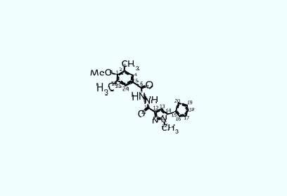 COc1c(C)cc(C(=O)NNC(=O)c2cc(-c3ccccc3)n(C)n2)cc1C